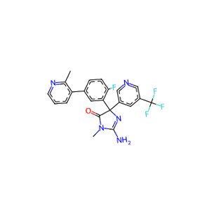 Cc1ncccc1-c1ccc(F)c(C2(c3cncc(C(F)(F)F)c3)N=C(N)N(C)C2=O)c1